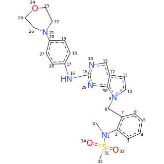 CN(c1ccccc1Cn1ccc2cnc(Nc3ccc(N4CCOCC4)cc3)nc21)S(C)(=O)=O